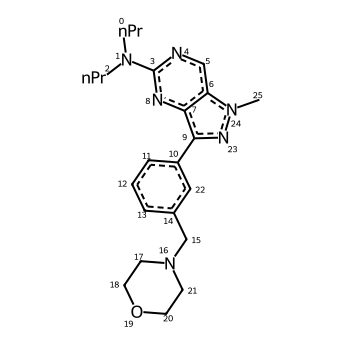 CCCN(CCC)c1ncc2c(n1)c(-c1cccc(CN3CCOCC3)c1)nn2C